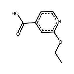 CCOc1cc(C(=O)O)ccn1